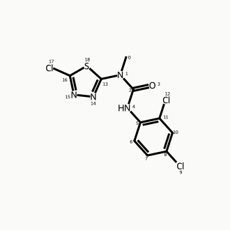 CN(C(=O)Nc1ccc(Cl)cc1Cl)c1nnc(Cl)s1